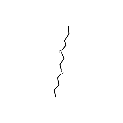 CCCC[N]CC[N]CCCC